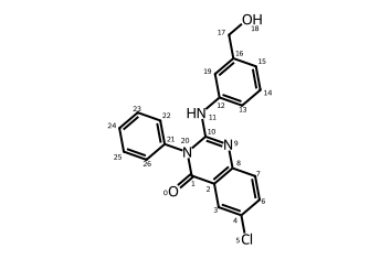 O=c1c2cc(Cl)ccc2nc(Nc2cccc(CO)c2)n1-c1ccccc1